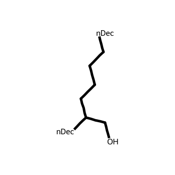 CCCCCCCCCCCCCCC(CO)CCCCCCCCCC